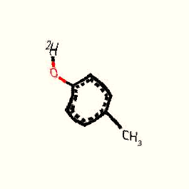 [2H]Oc1ccc(C)cc1